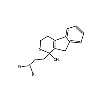 CCN(CC)CCC1(C)SCCC2=C1Cc1ccccc12